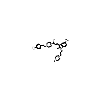 COc1ccc(CCN2CCN(C(=O)C=Cc3c(C)n(CCCN4CCN(C)CC4)c4ccc(OC)cc34)CC2)cc1